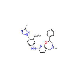 COc1cc(Nc2ccc3c(n2)OC(c2ccccc2)CN(C)C3)ccc1-n1cnc(C)n1